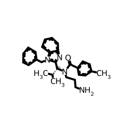 Cc1ccc(C(=O)N(CCCN)[C@@H](c2nc3ccccc3n2Cc2ccccc2)C(C)C)cc1